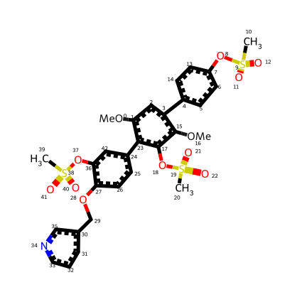 COc1cc(-c2ccc(OS(C)(=O)=O)cc2)c(OC)c(OS(C)(=O)=O)c1-c1ccc(OCc2cccnc2)c(OS(C)(=O)=O)c1